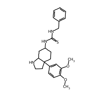 COc1ccc(C23CCNC2CC(NC(=S)NCc2ccccc2)CC3)cc1OC